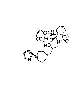 O=C(O)/C=C\C(=O)O.O=C1[C@H]2CC=CC[C@H]2C(=O)N1CC(O)CN1CCCN(c2ncccn2)CC1